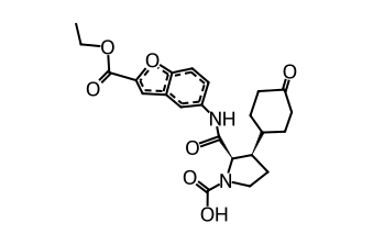 CCOC(=O)c1cc2cc(NC(=O)[C@H]3[C@@H](C4CCC(=O)CC4)CCN3C(=O)O)ccc2o1